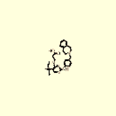 O=C(O)CCNc1nc(Nc2ccc(CN3CCc4ccccc4CC3)cc2)ncc1C(F)(F)F